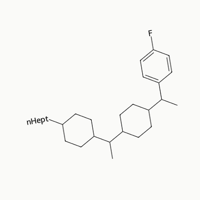 CCCCCCCC1CCC(C(C)C2CCC(C(C)c3ccc(F)cc3)CC2)CC1